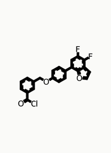 O=C(Cl)c1cccc(COc2ccc(-c3cc(F)c(F)c4ccoc34)cc2)c1